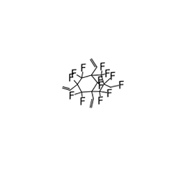 C=CC1(F)C(F)(F)C2(C=C)C(F)(F)C(F)(CF)C(F)(F)C(C=C)(C1(F)F)C2(F)F